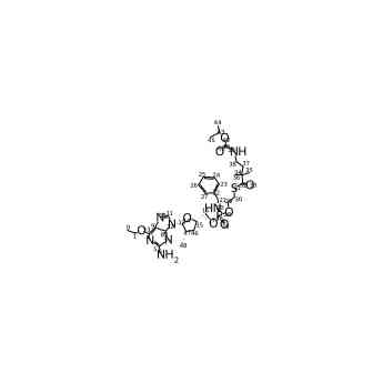 CCOc1nc(N)nc2c1ncn2[C@@H]1O[C@H](COP(=O)(NCc2ccccc2)OCCSC(=O)C(C)(C)CCNC(=O)OC(C)C)C[C@@H]1C